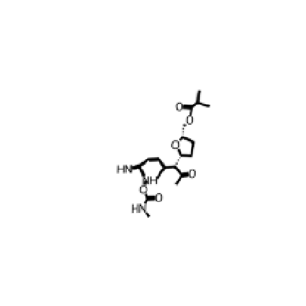 CNC(=O)ONC(=N)/C=C\C(C)C(C(C)=O)[C@H]1CC[C@@H](COC(=O)C(C)C)O1